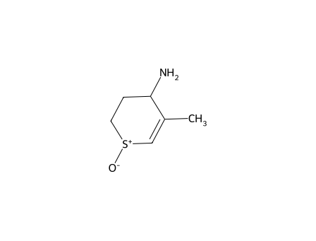 CC1=C[S+]([O-])CCC1N